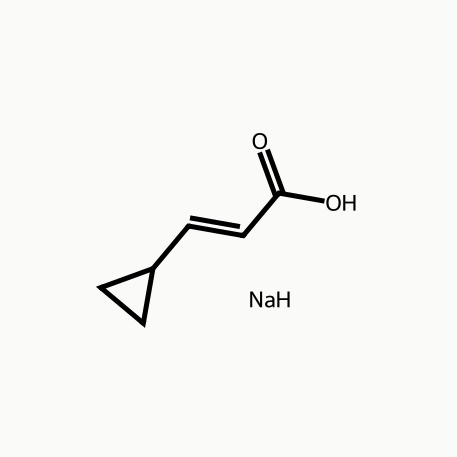 O=C(O)C=CC1CC1.[NaH]